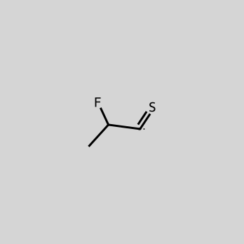 CC(F)[C]=S